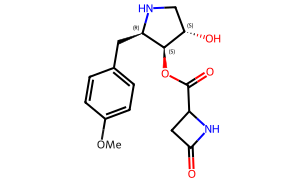 COc1ccc(C[C@H]2NC[C@H](O)[C@H]2OC(=O)C2CC(=O)N2)cc1